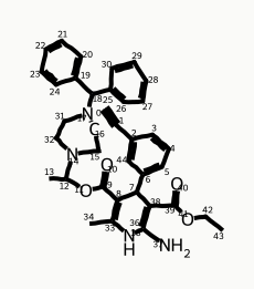 C#Cc1cccc(C2C(C(=O)OC(C)N3CCN(C(c4ccccc4)c4ccccc4)CC3)=C(C)NC(N)=C2C(=O)OCC)c1